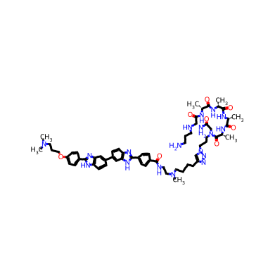 C[C@@H](NC(=O)CNCCCN)C(=O)N[C@H](C)C(=O)N[C@H](C)C(=O)N[C@H](C)C(=O)N(CCCn1cc(CCCCN(C)CCNC(=O)c2ccc(-c3nc4ccc(-c5ccc6[nH]c(-c7ccc(OCCCN(C)C)cc7)nc6c5)cc4[nH]3)cc2)nn1)CC(N)=O